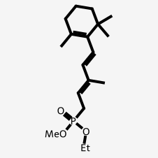 CCOP(=O)(C/C=C(C)/C=C/C1=C(C)CCCC1(C)C)OC